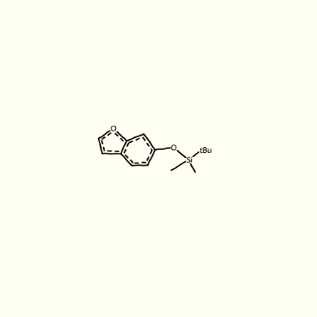 CC(C)(C)[Si](C)(C)Oc1ccc2ccoc2c1